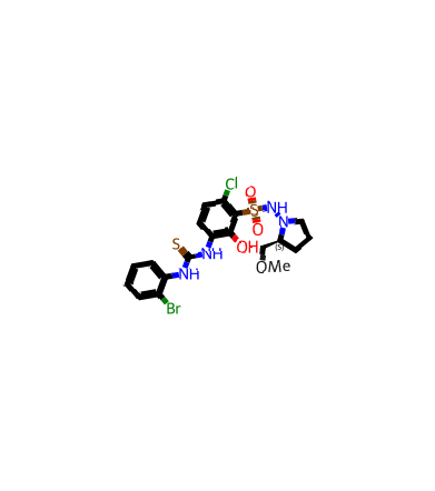 COC[C@@H]1CCCN1NS(=O)(=O)c1c(Cl)ccc(NC(=S)Nc2ccccc2Br)c1O